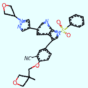 CC1(COc2ccc(-c3cn(S(=O)(=O)c4ccccc4)c4ncc(-c5cnn(C6COC6)c5)cc34)cc2C#N)COC1